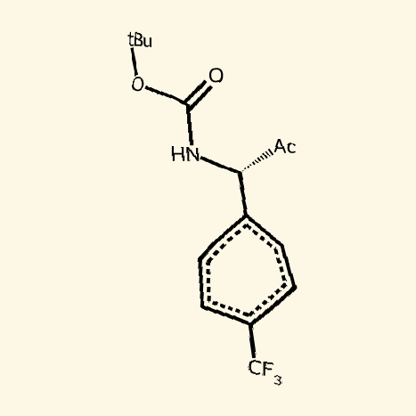 CC(=O)[C@@H](NC(=O)OC(C)(C)C)c1ccc(C(F)(F)F)cc1